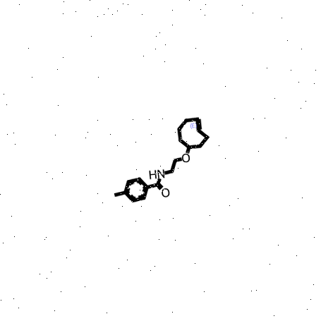 Cc1ccc(C(=O)NCCOC2CC/C=C/CCC2)cc1